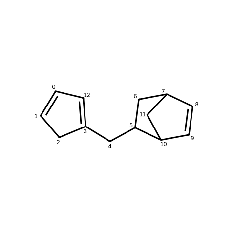 C1=CCC(CC2CC3C=CC2C3)=C1